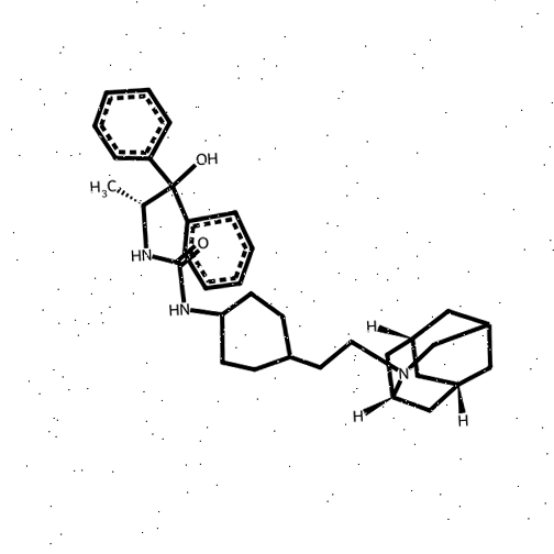 C[C@@H](NC(=O)NC1CCC(CCN2CC3C[C@@H]4C[C@H](C3)C[C@@H]2C4)CC1)C(O)(c1ccccc1)c1ccccc1